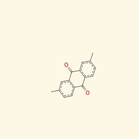 Cc1ccc2c(c1)C(=O)c1cc(C)ccc1C2=O